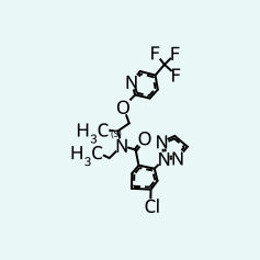 CCN(C(=O)c1ccc(Cl)cc1-n1nccn1)[C@@H](C)COc1ccc(C(F)(F)F)cn1